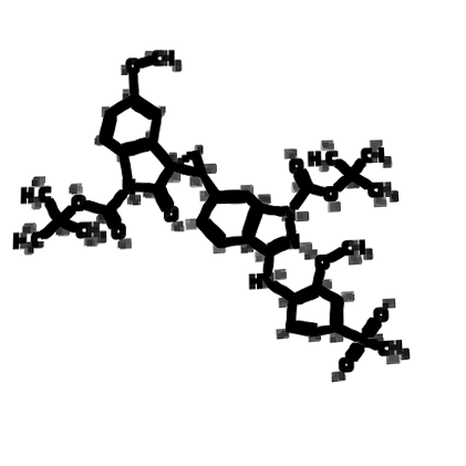 COc1ccc2c(c1)[C@]1(C[C@H]1c1ccc3c(Nc4ccc(S(C)(=O)=O)cc4OC)nn(C(=O)OC(C)(C)C)c3c1)C(=O)N2C(=O)OC(C)(C)C